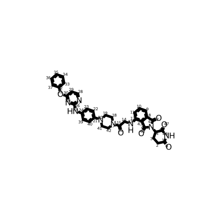 O=C1CCC(N2C(=O)c3cccc(NCC(=O)N4CCN(c5ccc(Nc6nccc(Oc7ccccc7)n6)cc5)CC4)c3C2=O)C(=O)N1